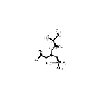 C[N+](C)(C)C[C@@H](CC(=O)[O-])OC(=O)[C@@H](N)CS